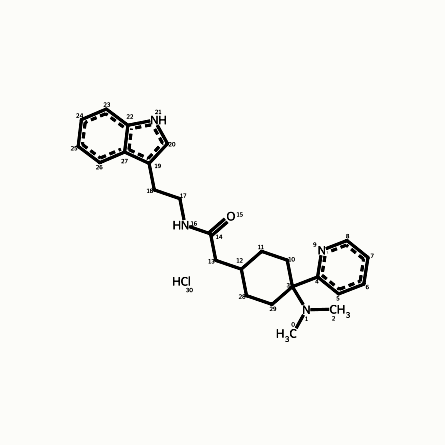 CN(C)C1(c2ccccn2)CCC(CC(=O)NCCc2c[nH]c3ccccc23)CC1.Cl